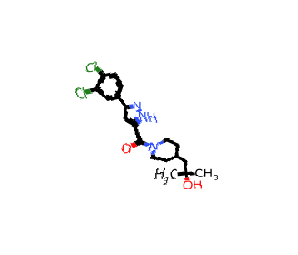 CC(C)(O)CC1CCN(C(=O)c2cc(-c3ccc(Cl)c(Cl)c3)n[nH]2)CC1